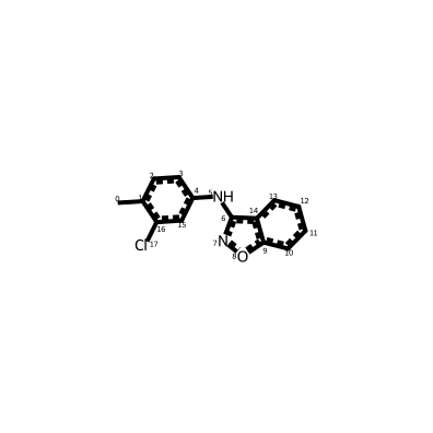 Cc1ccc(Nc2noc3ccccc23)cc1Cl